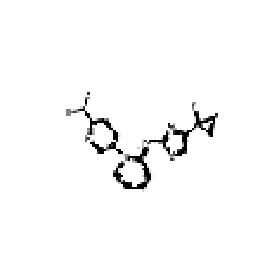 FC(F)c1ccc(-n2cccc/c2=N\c2nc(C3(F)CC3)cs2)cn1